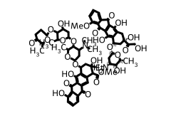 CCC1(O)CC(OC2CC(N(C)C)C(OC3CC(O)C(OC4CCC(=O)C(C)O4)C(C)O3)C(C)O2)c2c(cc3c(c2O)C(=O)c2c(O)cccc2C3=O)C1C(=O)OC.COc1cccc2c1C(=O)c1c(O)c3c(c(O)c1C2=O)C[C@@](O)(C(=O)CO)C[C@@H]3O[C@H]1C[C@H](N)[C@@H](O)[C@H](C)O1